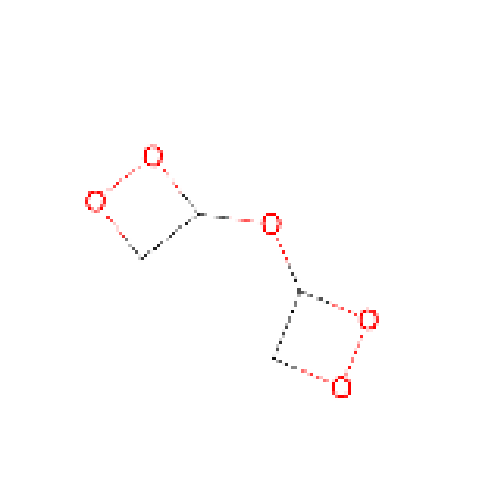 C1OOC1OC1COO1